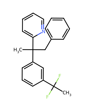 CC(F)(F)c1cccc(C(C)(Cc2ccccc2)c2ccccn2)c1